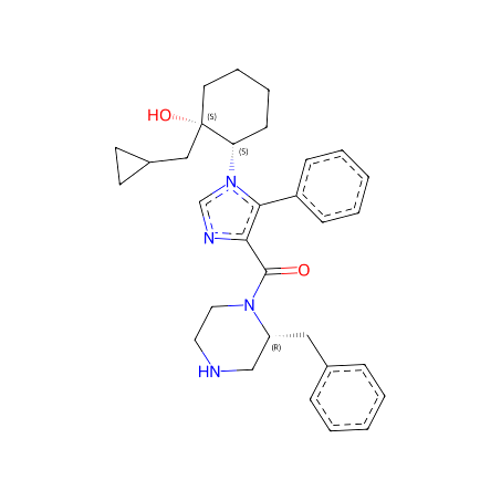 O=C(c1ncn([C@H]2CCCC[C@]2(O)CC2CC2)c1-c1ccccc1)N1CCNC[C@H]1Cc1ccccc1